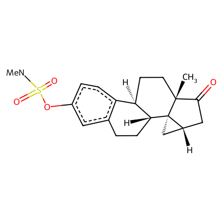 CNS(=O)(=O)Oc1ccc2c(c1)CC[C@@H]1[C@@H]2CC[C@]2(C)C(=O)C[C@@H]3C[C@]312